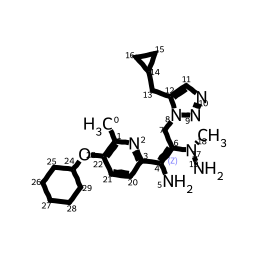 Cc1nc(/C(N)=C(\Cn2nncc2CC2CC2)N(C)N)ccc1OC1CCCCC1